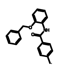 [CH2]c1ccc(C(=O)Nc2ccccc2OCc2ccccc2)cc1